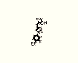 CCc1ccc(-n2cc(CC(O)C(C)C)nn2)cc1F